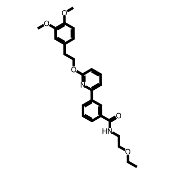 CCOCCNC(=O)c1cccc(-c2cccc(OCCc3ccc(OC)c(OC)c3)n2)c1